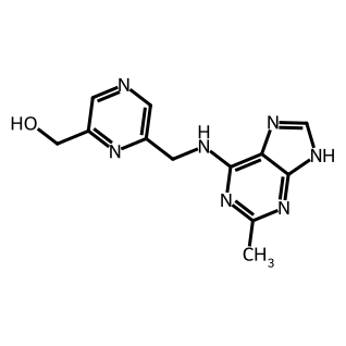 Cc1nc(NCc2cncc(CO)n2)c2nc[nH]c2n1